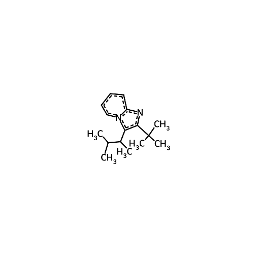 CC(C)C(C)c1c(C(C)(C)C)nc2ccccn12